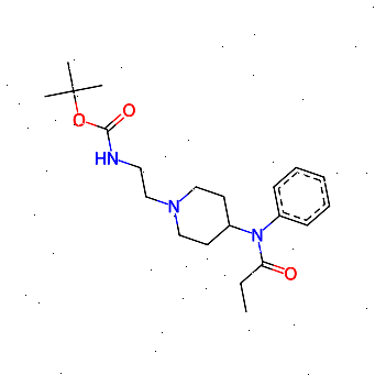 CCC(=O)N(c1ccccc1)C1CCN(CCNC(=O)OC(C)(C)C)CC1